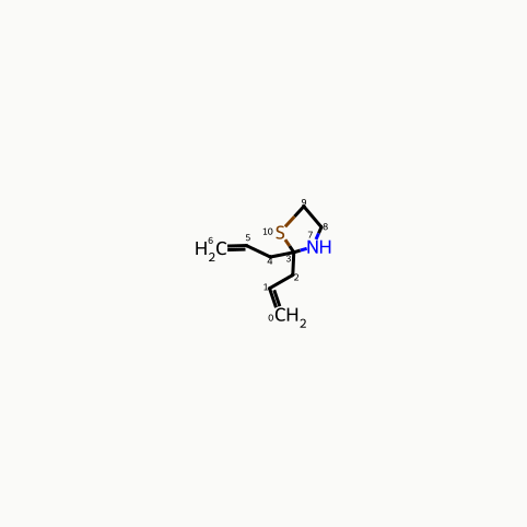 C=CCC1(CC=C)NCCS1